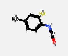 Cc1ccc(N=C=O)cc1.S